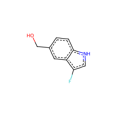 OCc1ccc2[nH]cc(F)c2c1